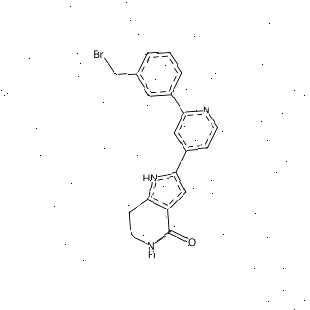 O=C1NCCc2[nH]c(-c3ccnc(-c4cccc(CBr)c4)c3)cc21